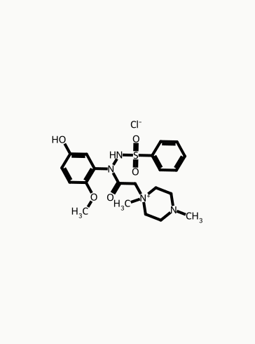 COc1ccc(O)cc1N(NS(=O)(=O)c1ccccc1)C(=O)C[N+]1(C)CCN(C)CC1.[Cl-]